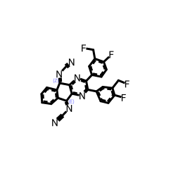 N#C/N=C1/c2ccccc2/C(=N\C#N)c2nc(-c3ccc(F)c(CF)c3)c(-c3ccc(F)c(CF)c3)nc21